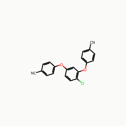 N#Cc1ccc(Oc2ccc(Cl)c(Oc3ccc(C#N)cc3)c2)cc1